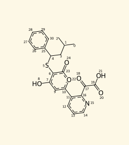 CC(C)CC(Sc1c(O)cc(-c2cccnc2C(=O)C(=O)O)oc1=O)c1ccccc1